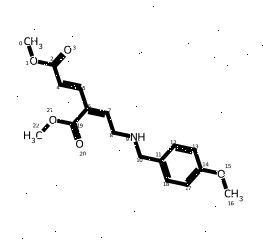 COC(=O)C=CC(=CCNCc1ccc(OC)cc1)C(=O)OC